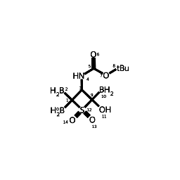 BC1(B)C(NC(=O)OC(C)(C)C)C(B)(O)S1(=O)=O